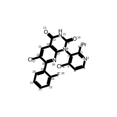 CC(C)c1nccc(Cl)c1-n1c(=O)[nH]c(=O)c2cc(Cl)c(-c3ccccc3F)nc21